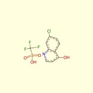 O=S(=O)(O)C(F)(F)F.Oc1ccnc2cc(Cl)ccc12